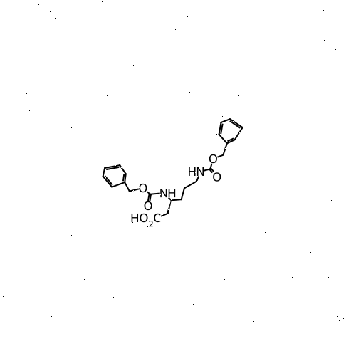 O=C(O)C[C@H](CCCNC(=O)OCc1ccccc1)NC(=O)OCc1ccccc1